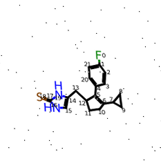 Fc1ccc(C2=C(C3CC3)CCC2Cc2c[nH]c(=S)[nH]2)cc1